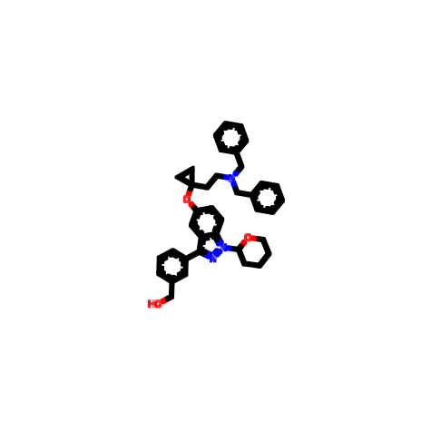 OCc1cccc(-c2nn(C3CCCCO3)c3ccc(OC4(CCN(Cc5ccccc5)Cc5ccccc5)CC4)cc23)c1